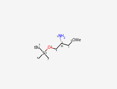 COC[C@@H](N)CO[Si](C)(C)C(C)(C)C